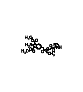 CCOC(=O)c1c2ccc(CC(=O)N(CC)OCC(=O)NC3=NCCN3)ccc-2c(C(=O)OCC)c1N